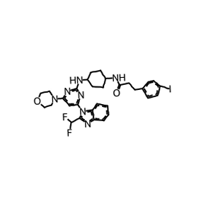 O=C(CCc1ccc(I)cc1)NC1CCC(Nc2nc(N3CCOCC3)cc(-n3c(C(F)F)nc4ccccc43)n2)CC1